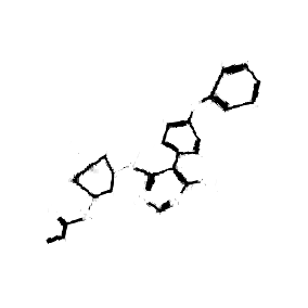 C=CC(=O)N[C@H]1C[C@H](O)C[C@@H](Nc2ncnc(N)c2-c2ccc(Oc3ccccc3)cc2)C1